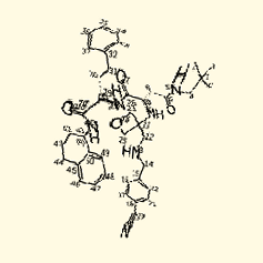 CC(C)(C)CNC(=O)C[C@H](NC1(CNCc2ccc(C#N)cc2)COC1)C(=O)N[C@@H](CCc1ccccc1)C(=O)N[C@@H]1CCCc2ccccc21